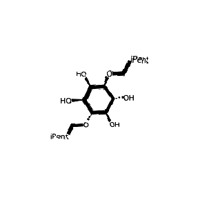 CCCC(C)CO[C@H]1[C@H](O)[C@@H](O)[C@H](OCC(C)CCC)[C@@H](O)[C@H]1O